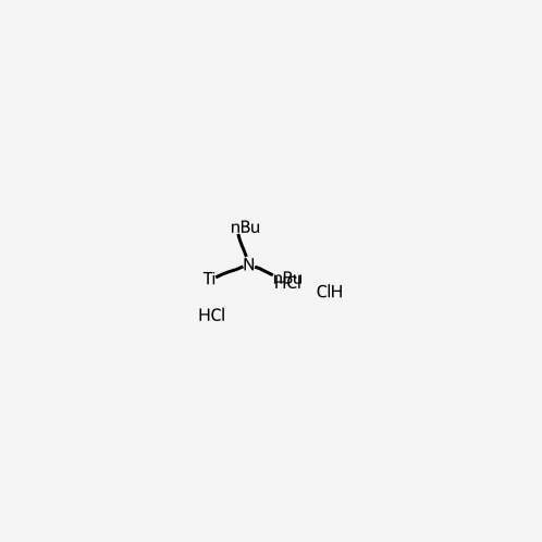 CCCC[N]([Ti])CCCC.Cl.Cl.Cl